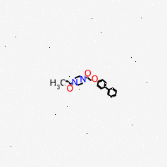 CCC(=O)N1CCN(C(=O)COc2ccc(-c3ccccc3)cc2)CC1